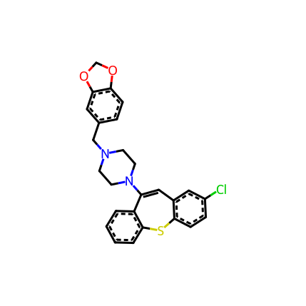 Clc1ccc2c(c1)C=C(N1CCN(Cc3ccc4c(c3)OCO4)CC1)c1ccccc1S2